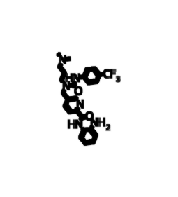 CN(C)CCCN(Cc1ccc(C(=O)Nc2ccccc2N)nc1)C(=O)Nc1ccc(C(F)(F)F)cc1